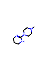 CN1CCN(C2=NCCCN2)CC1